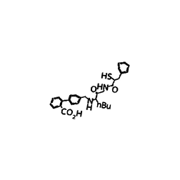 CCCCC(NCc1ccc(-c2ccccc2C(=O)O)cc1)C(=O)CNC(=O)C(S)Cc1ccccc1